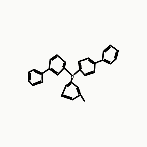 Cc1cccc(N(c2ccc(-c3ccccc3)cc2)c2cccc(-c3ccccc3)c2)c1